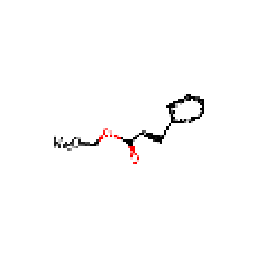 COCOC(=O)/C=C/c1ccccc1